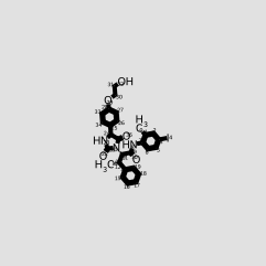 Cc1cc(I)ccc1NC(=O)[C@H]([C@@H](C)c1ccccc1)N1C(=O)NC(c2ccc(OCCO)cc2)C1=O